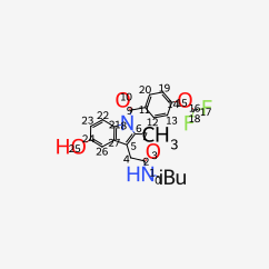 CCC(C)NC(=O)Cc1c(C)n(C(=O)c2ccc(OC(F)F)cc2)c2ccc(O)cc12